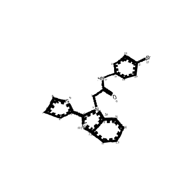 O=C(Cn1c(-c2cccs2)nc2ccccc21)Nc1ccc(Br)cc1